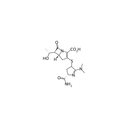 C[C@@H](O)[C@H]1C(=O)N2C(C(=O)O)=C(SC3C[C@@H](C(N)=O)N=C3N(C)C)C[C@H]12